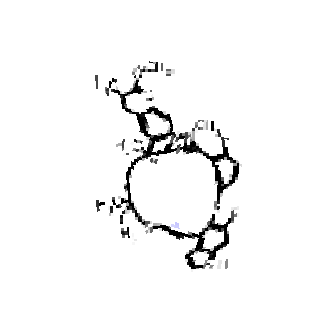 COC(=O)C(C)Cc1cccc([C@@]2(C)CCCC(C)(C)CS/C=C/c3c(c(F)cc4[nH]ccc34)Sc3ccc(F)c(c3)-c3nc2nn3C)c1